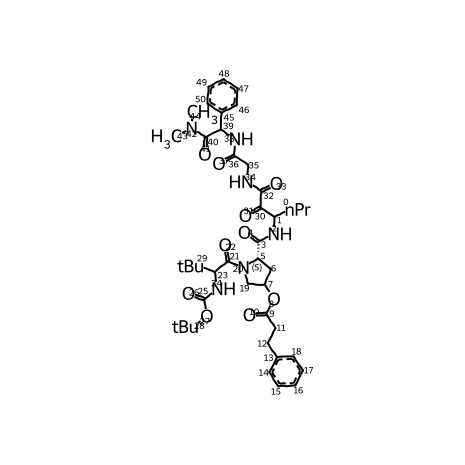 CCCC(NC(=O)[C@@H]1CC(OC(=O)CCc2ccccc2)CN1C(=O)C(NC(=O)OC(C)(C)C)C(C)(C)C)C(=O)C(=O)NCC(=O)NC(C(=O)N(C)C)c1ccccc1